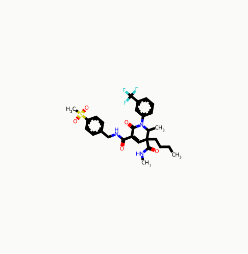 CCCCC1(C(=O)NC)C=C(C(=O)NCc2ccc(S(C)(=O)=O)cc2)C(=O)N(c2cccc(C(F)(F)F)c2)C1C